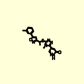 Cc1cccc(-c2cc(C(C)Sc3nnc(-c4cn[nH]c(=O)c4)n3C)no2)c1